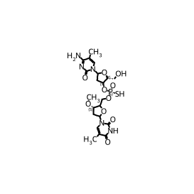 CO[C@H]1CC(n2cc(C)c(=O)[nH]c2=O)OC1CO[P@](=O)(S)O[C@H]1CC(n2cc(C)c(N)nc2=O)O[C@@H]1CO